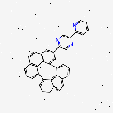 c1ccc(-c2cnc(-c3cc4ccc5cccc6c7cccc8ccc9cccc(c(c3)c4c56)c9c87)cn2)nc1